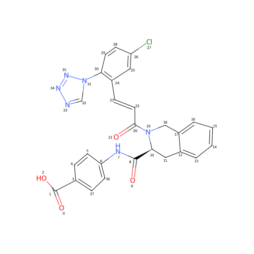 O=C(O)c1ccc(NC(=O)[C@@H]2Cc3ccccc3CN2C(=O)/C=C/c2cc(Cl)ccc2-n2cnnn2)cc1